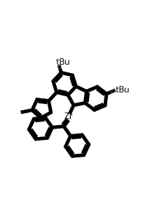 CC1=CCC(c2cc(C(C)(C)C)cc3c2[CH]([Zr]=[C](c2ccccc2)c2ccccc2)c2ccc(C(C)(C)C)cc2-3)=C1